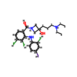 CCN(CC)CCCC1(O)CN(C(=O)c2ccc(F)c(F)c2Nc2ccc(I)cc2F)C1